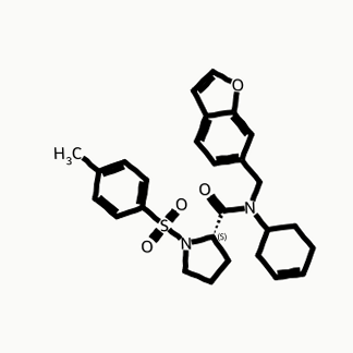 Cc1ccc(S(=O)(=O)N2CCC[C@H]2C(=O)N(Cc2ccc3ccoc3c2)C2CC=CCC2)cc1